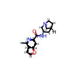 Cc1nc(C(=O)N[C@@H]2C[C@H]3CCN(C3)C2)cc2occc12